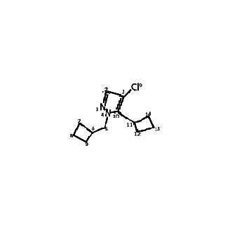 Clc1[c]nn(CC2CCC2)c1C1CCC1